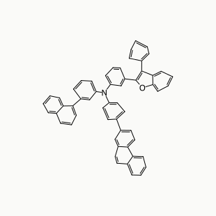 c1ccc(-c2c(-c3cccc(N(c4ccc(-c5ccc6c(ccc7ccccc76)c5)cc4)c4cccc(-c5cccc6ccccc56)c4)c3)oc3ccccc23)cc1